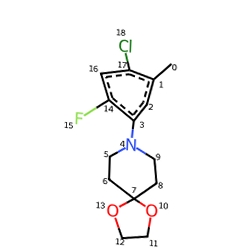 Cc1cc(N2CCC3(CC2)OCCO3)c(F)cc1Cl